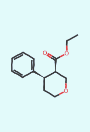 CCOC(=O)[C@H]1COCC[C@H]1c1ccccc1